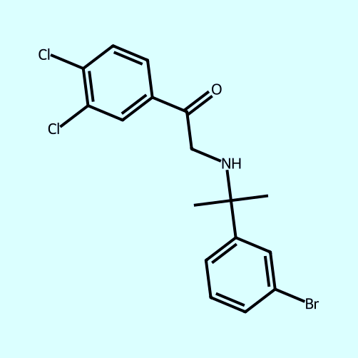 CC(C)(NCC(=O)c1ccc(Cl)c(Cl)c1)c1cccc(Br)c1